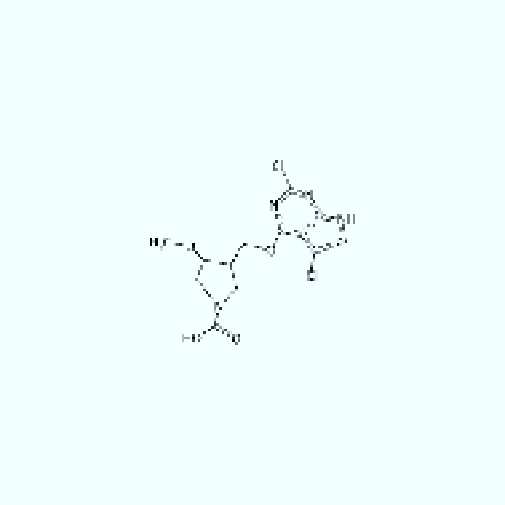 COC1CN(C(=O)O)CC1COc1nc(Cl)nc2[nH]cc(Cl)c12